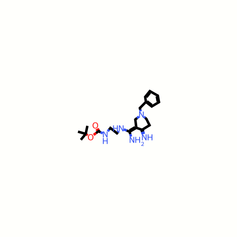 CC(C)(C)OC(=O)NCCN/C(N)=C1\CN(Cc2ccccc2)CCC1=N